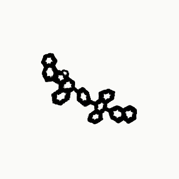 c1ccc2cc(-c3c4ccccc4c(-c4ccc(-c5cc6oc7c8ccccc8ccc7c6c6ccccc56)cc4)c4ccccc34)ccc2c1